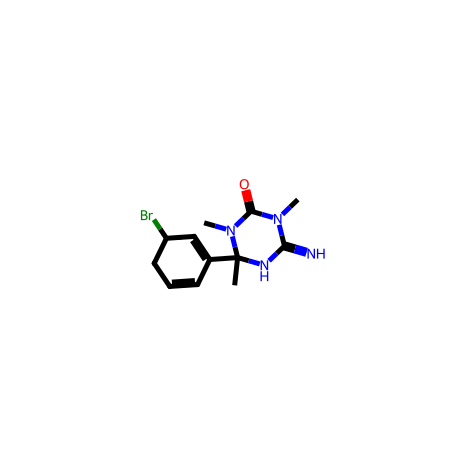 CN1C(=N)NC(C)(C2=CC(Br)CC=C2)N(C)C1=O